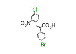 O=C(O)/C(=C\c1ccc(Cl)cc1[N+](=O)[O-])c1ccc(Br)cc1